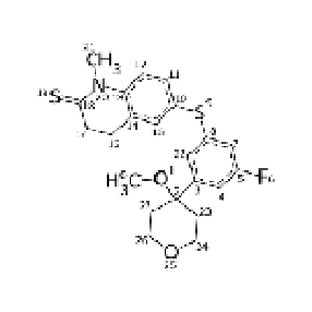 COC1(c2cc(F)cc(Sc3ccc4c(c3)CCC(=S)N4C)c2)CCOCC1